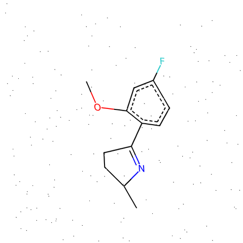 COc1cc(F)ccc1C1=NC(C)CC1